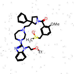 CCOCCn1c(N2CCCN(CCC3(c4ccccc4)CCN(C(=O)c4cc(C[S+](C)[O-])ccc4OC)C3)CC2)nc2ccccc21